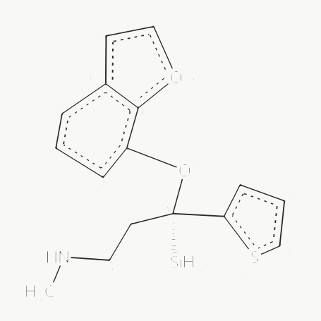 CNCC[C@@]([SiH3])(Oc1cccc2ccoc12)c1cccs1